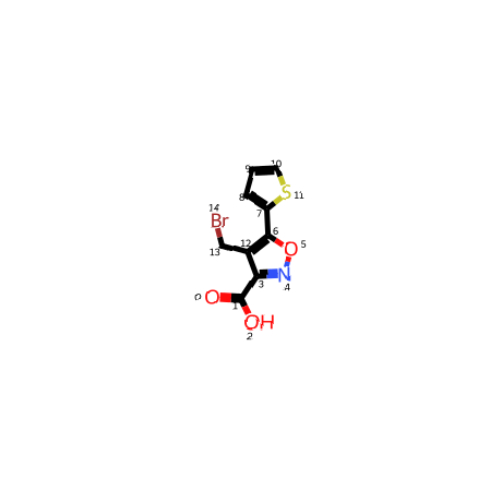 O=C(O)c1noc(-c2cccs2)c1CBr